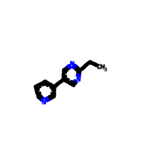 CCc1ncc(-c2cccnc2)cn1